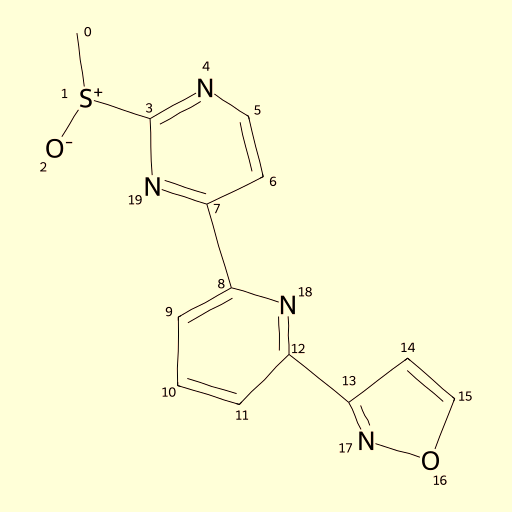 C[S+]([O-])c1nccc(-c2cccc(-c3ccon3)n2)n1